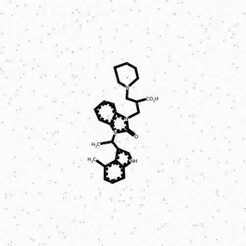 Cc1cccc2[nH]cc(C(C)n3c(=O)n(CC(CN4CCCCC4)C(=O)O)c4ccccc43)c12